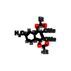 CCC(=O)Oc1c(OC)c(OC)c(OC(=O)CC)c2cc(C)ccc12